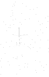 CCC1(C(=O)Cl)CC1